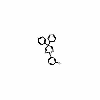 Brc1cccc(N2N=CC(c3ccccc3)(c3ccccc3)C=N2)c1